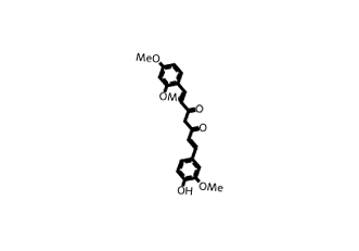 COc1ccc(C=CC(=O)CC(=O)C=Cc2ccc(O)c(OC)c2)c(OC)c1